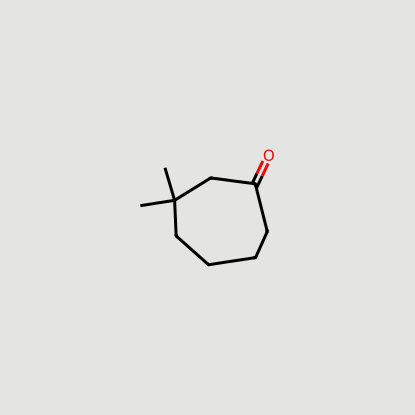 CC1(C)CCCCC(=O)C1